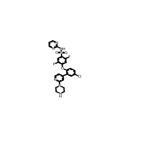 O=S(=O)(Nc1ncccn1)c1cc(F)c(Oc2ccc(Cl)cc2-c2ccnc(N3CCNCC3)c2)cc1F